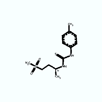 Cc1ccc(NC(=S)N[C@@H](C)CCS(C)(=O)=O)cc1